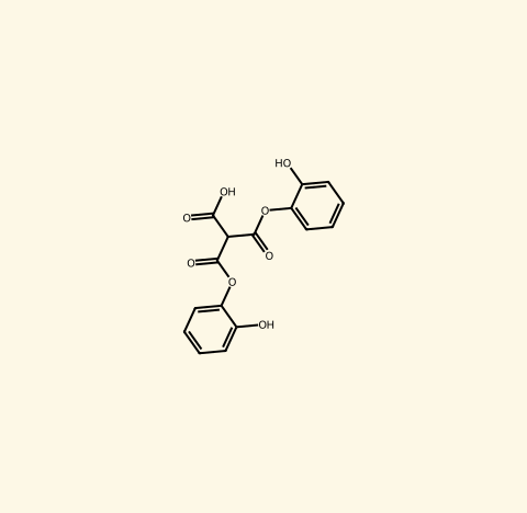 O=C(O)C(C(=O)Oc1ccccc1O)C(=O)Oc1ccccc1O